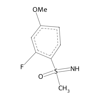 COc1ccc(S(C)(=N)=O)c(F)c1